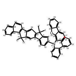 CC1(C)c2cc(N(c3ccccc3-c3ccccc3)c3cccc4c3oc3ccccc34)ccc2-c2cc3c(cc21)-c1ccc2ccccc2c1C3(C)C